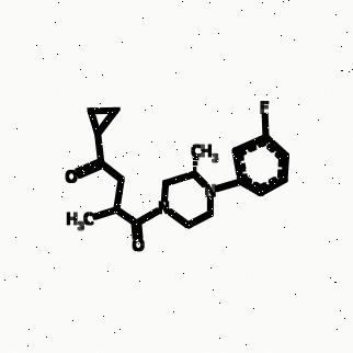 CC(CC(=O)C1CC1)C(=O)N1CCN(c2cccc(F)c2)[C@@H](C)C1